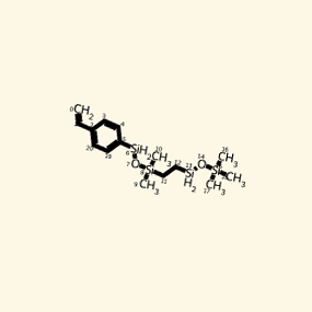 C=Cc1ccc([SiH2]O[Si](C)(C)CC[SiH2]O[Si](C)(C)C)cc1